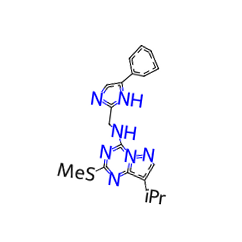 CSc1nc(NCc2ncc(-c3ccccc3)[nH]2)n2ncc(C(C)C)c2n1